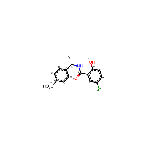 C[C@H](NC(=O)c1cc(Cl)ccc1O)c1ccc(C(=O)O)cc1